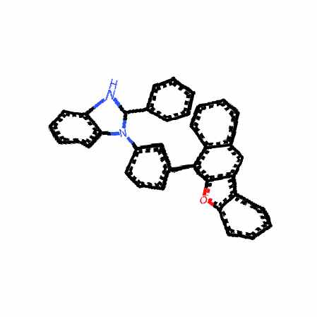 c1ccc(C2Nc3ccccc3N2c2cccc(-c3c4ccccc4cc4c3oc3ccccc34)c2)cc1